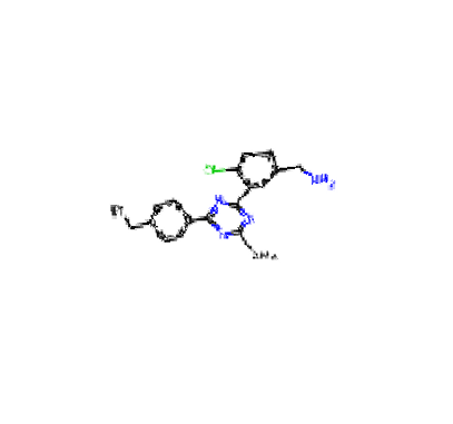 COc1nc(-c2ccc(CC(C)C)cc2)nc(-c2cc(CN)ccc2Cl)n1